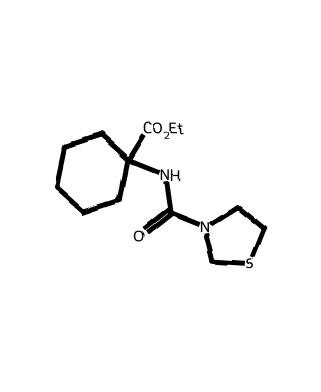 CCOC(=O)C1(NC(=O)N2CCSC2)CCCCC1